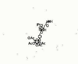 CC(=O)OC[C@H]1O[C@@H](Oc2ccc(COC(=O)N[C@@H](CCC(=O)C=[N+]=N)C(=O)OC(C)C)cc2)[C@H](OC(C)=O)[C@@H](OC(C)=O)[C@@H]1OC(C)=O